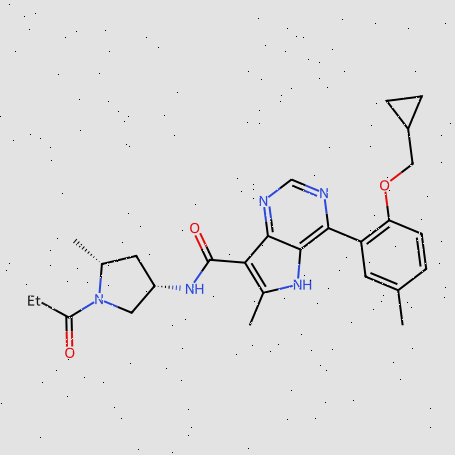 CCC(=O)N1C[C@@H](NC(=O)c2c(C)[nH]c3c(-c4cc(C)ccc4OCC4CC4)ncnc23)C[C@H]1C